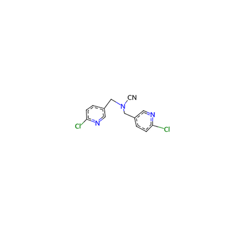 N#CN(Cc1ccc(Cl)nc1)Cc1ccc(Cl)nc1